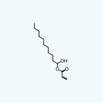 C=CC(=O)OC(O)CCCCCCCCCC